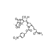 C[C@@H](O)[C@H]1C(=O)N2C(C(=O)O)=C(S[C@H]3C[C@@H](CSCC(N)=O)N(C(=O)OCc4ccc([N+](=O)[O-])cc4)C3)[C@H](C)[C@H]12